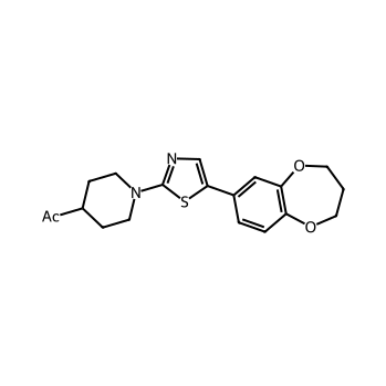 CC(=O)C1CCN(c2ncc(-c3ccc4c(c3)OCCCO4)s2)CC1